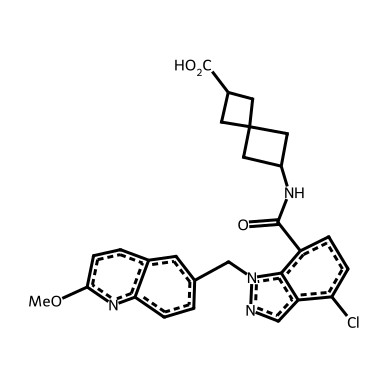 COc1ccc2cc(Cn3ncc4c(Cl)ccc(C(=O)NC5CC6(C5)CC(C(=O)O)C6)c43)ccc2n1